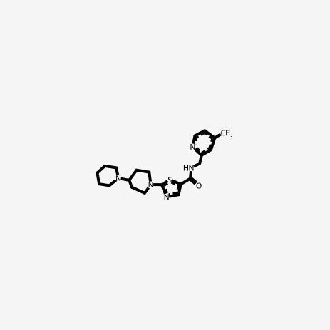 O=C(NCc1cc(C(F)(F)F)ccn1)c1cnc(N2CCC(N3CCCCC3)CC2)s1